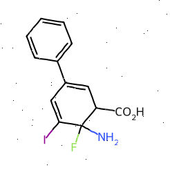 NC1(F)C(I)=CC(c2ccccc2)=CC1C(=O)O